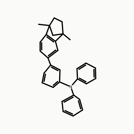 CC12CCC(C)(C1)c1cc(-c3cccc(N(c4ccccc4)c4ccccc4)c3)ccc12